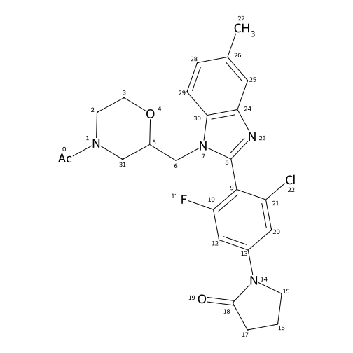 CC(=O)N1CCOC(Cn2c(-c3c(F)cc(N4CCCC4=O)cc3Cl)nc3cc(C)ccc32)C1